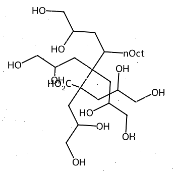 CCCCCCCCC(CC(O)CO)C(CC(O)CO)(CC(O)CO)C(CC(O)CO)(CC(O)CO)C(=O)O